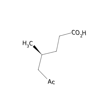 CC(=O)C[C@@H](C)CCC(=O)O